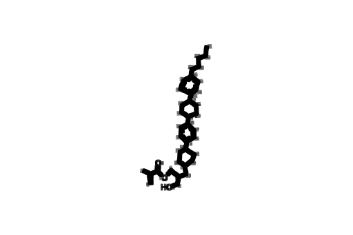 C=C(C)C(=O)OCC(CO)CC1CCC(c2ccc(C3CCC(c4ccc(CCCCC)cc4)CC3)cc2)CC1